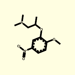 COc1ccc([N+](=O)[O-])cc1OC(C)CN(C)C